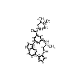 CCN(CC)C(C)CNC(=O)c1cc(N[C@H](C)CO)nc(-c2cnn3ccc(-c4cccs4)nc23)c1